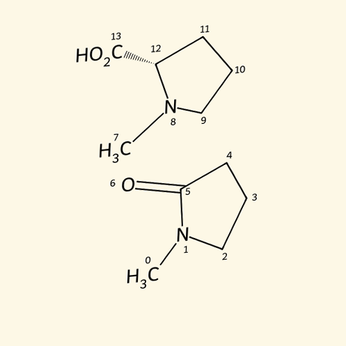 CN1CCCC1=O.CN1CCC[C@H]1C(=O)O